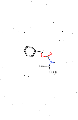 CC(C)[C@H](C(=O)O)N(C)C(=O)OCc1ccccc1